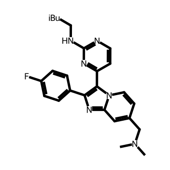 CCC(C)CNc1nccc(-c2c(-c3ccc(F)cc3)nc3cc(CN(C)C)ccn23)n1